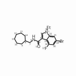 CCn1cc(C(=O)NCC2CCCCCC2)c2c(F)cc(Br)cc21